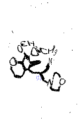 COc1cc(C/C(C#N)=C/N2CCOCC2)c2c(c1OC)OCC=C2